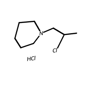 CC(Cl)CN1CCCCC1.Cl